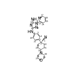 N#C[C@]1(c2ccc(Nc3nc(N)n(-c4ccccn4)n3)cc2)CC[C@@H](N2CCOCC2)CC1